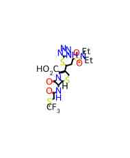 CCN(CC)S(=O)(=O)CCC(Sc1nnn[nH]1)C1=C(C(=O)O)N2C(=O)C(NC(=O)CSC(F)(F)F)[C@@H]2SC1